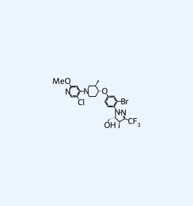 COc1cc(N2CC[C@@H](Oc3ccc(N4N=C(C(F)(F)F)[C@@H](C)[C@@H]4CO)c(Br)c3)[C@H](C)C2)c(Cl)cn1